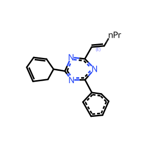 CCC/C=C/c1nc(-c2ccccc2)nc(C2C=CC=CC2)n1